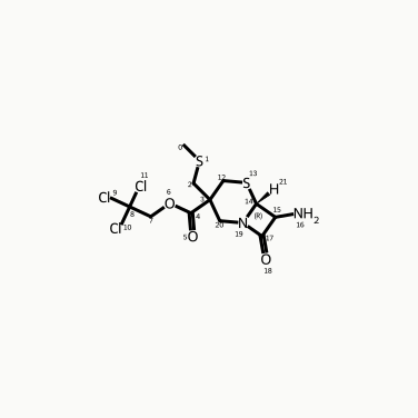 CSCC1(C(=O)OCC(Cl)(Cl)Cl)CS[C@@H]2C(N)C(=O)N2C1